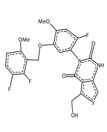 COc1cc(F)c(-n2c(=O)[nH]c3csc(CO)c3c2=O)cc1OCc1c(OC)ccc(F)c1F